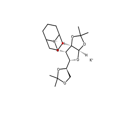 CC1(C)O[C@H]2O[C@H]([C@H]3COC(C)(C)O3)[C@H](O[B-]3C4CCCC3CCC4)[C@H]2O1.[K+]